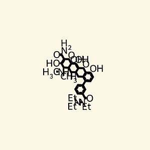 CCN(CC)N(CC)C(=O)c1cccc(-c2ccc(O)c3c2C[C@H]2C[C@H]4[C@H](N(C)C)C(O)=C(C(N)=O)C(=O)[C@@]4(O)C(O)=C2C3=O)c1